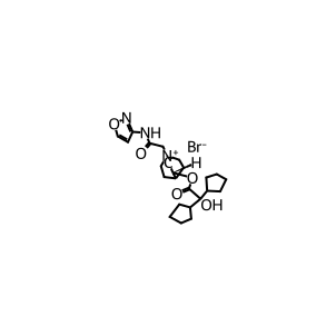 O=C(C[N+]12CCC(CC1)[C@@H](OC(=O)C(O)(C1CCCC1)C1CCCC1)C2)Nc1ccon1.[Br-]